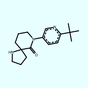 CC(C)(C)c1ccc(N2CCCC3(CCCN3)C2=O)cn1